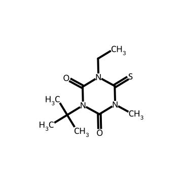 CCn1c(=S)n(C)c(=O)n(C(C)(C)C)c1=O